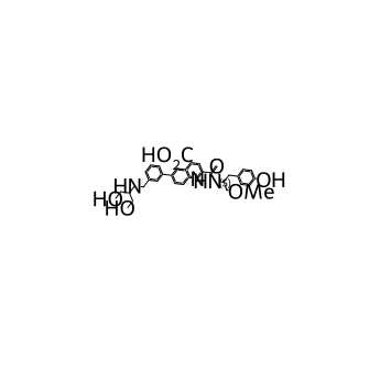 COC[C@H](Cc1ccc(O)cc1)NC(=O)c1cc(C(=O)O)c2cc(-c3cccc(CNC(CO)CO)c3)ccc2n1